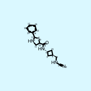 N#CNC[C@H]1C[C@H](NC(=O)C2CNC(c3ccccc3)S2)C1